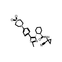 Cc1nc([C@@H]2CCCC[C@H]2C(=O)NC2(C#N)CC2)c(-c2ccc(N3CCS(=O)(=O)CC3)cc2)s1